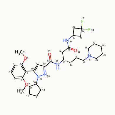 COc1cccc(OC)c1-c1cc(C(=O)N[C@@H](CCCN2CCCCC2)CC(=O)NC2CC(F)(F)C2)nn1C1CCCC1